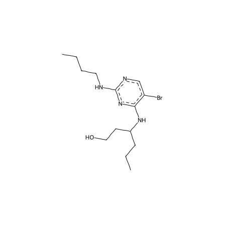 CCCCNc1ncc(Br)c(NC(CCC)CCO)n1